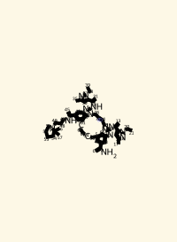 C=C(N)c1cc2c3c(c1)nc(NC(=C)c1cc(C)nn1CC)n3C/C=C/Cn1c(NC(=C)c3cc(C)nn3CC)nc3cc(C(=C)NCCCN4CCCCC4(C)C)cc(c31)CCCCC2